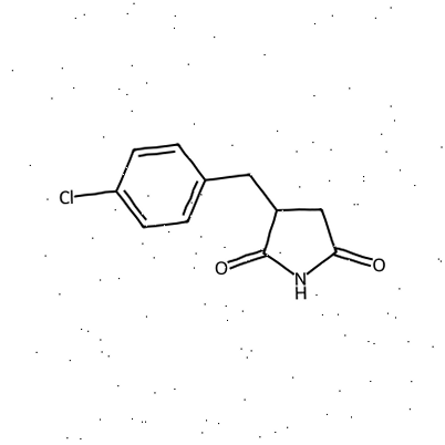 O=C1CC(Cc2ccc(Cl)cc2)C(=O)N1